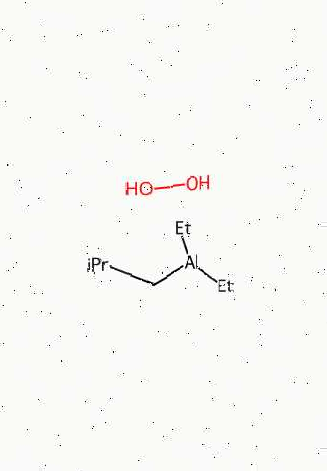 C[CH2][Al]([CH2]C)[CH2]C(C)C.OO